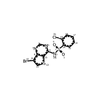 O=S(=O)(Nc1ncnc2c(Br)csc12)c1ccccc1Cl